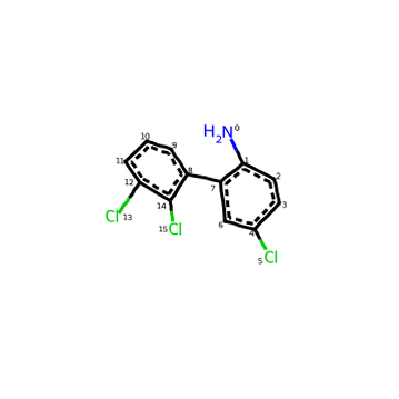 Nc1ccc(Cl)cc1-c1cccc(Cl)c1Cl